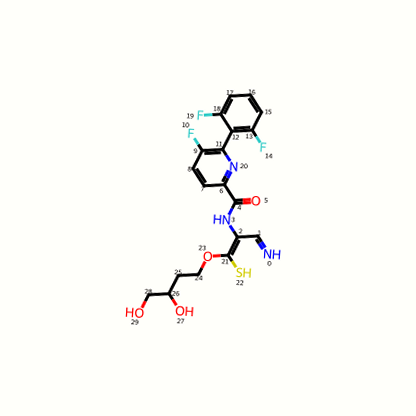 N=C/C(NC(=O)c1ccc(F)c(-c2c(F)cccc2F)n1)=C(\S)OCCC(O)CO